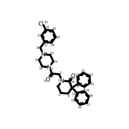 O=C(CN1CCCC(c2ccccc2)(c2ccccc2)C1=O)N1CCN(Cc2cccc(Cl)c2)CC1